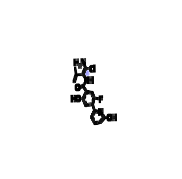 C=C(C)/C(NC(=O)c1cc(F)c(-c2cccc(O)n2)cc1O)=C(\N)Cl